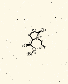 CC(C)CN1C(=O)SCC1C(=O)OC(C)(C)C